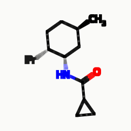 CC(C)[C@@H]1CC[C@@H](C)C[C@@H]1NC(=O)C1CC1